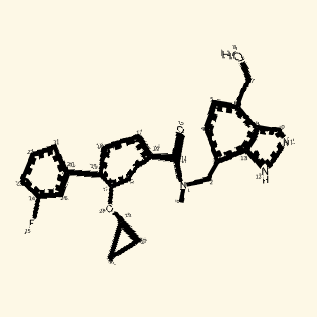 CN(Cc1ccc(CO)c2cn[nH]c12)C(=O)c1ccc(-c2cccc(F)c2)c(OC2CC2)c1